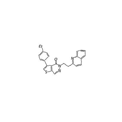 CCc1ccc(-c2csc3cnn(CCc4ccc5ccccc5n4)c(=O)c23)cc1